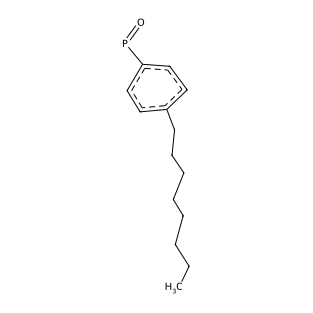 CCCCCCCCc1ccc(P=O)cc1